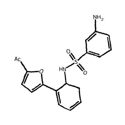 CC(=O)c1ccc(C2=CC=CCC2NS(=O)(=O)c2cccc(N)c2)o1